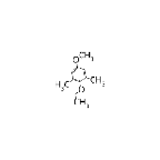 CCOc1c(C)cc(OC)cc1C